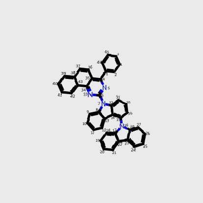 c1ccc(-c2nc(-n3c4ccccc4c4c(-n5c6ccccc6c6ccccc65)cccc43)nc3c2ccc2ccccc23)cc1